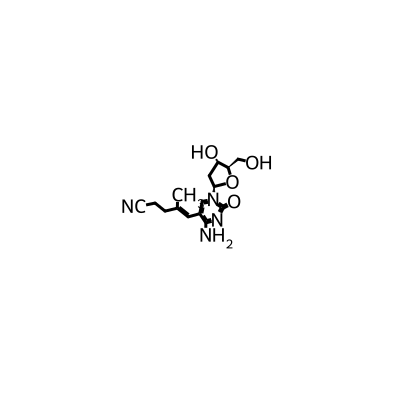 C/C(=C\c1cn([C@H]2C[C@H](O)[C@@H](CO)O2)c(=O)nc1N)CCC#N